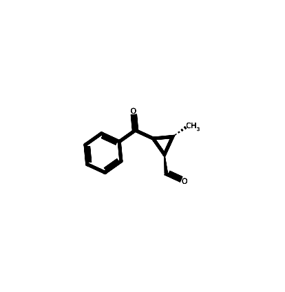 C[C@H]1C(C(=O)c2ccccc2)[C@@H]1C=O